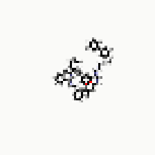 C=N/C(=C\C(=N/Cc1cccc2c1C1=C(C2)CC(\C=C/C(=C\C=C\Nc2cccc(-c3ccccc3)c2)c2ccccc2)C=C1)c1ccccc1)C1(C)C=CC=CC1